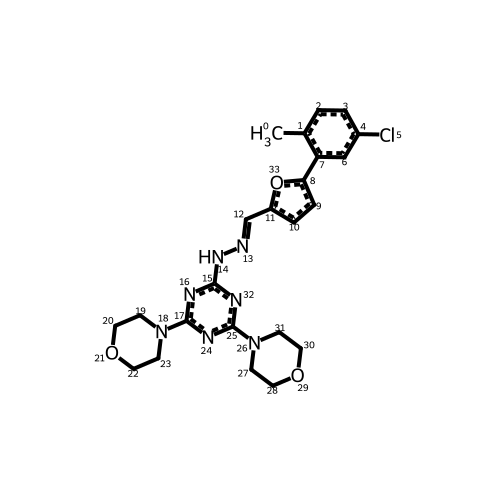 Cc1ccc(Cl)cc1-c1ccc(/C=N/Nc2nc(N3CCOCC3)nc(N3CCOCC3)n2)o1